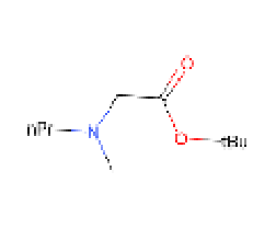 CCCN(C)CC(=O)OC(C)(C)C